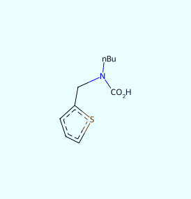 CCCCN(Cc1cccs1)C(=O)O